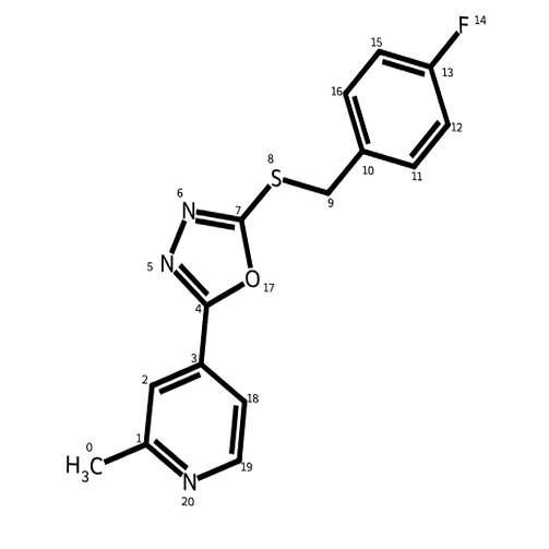 Cc1cc(-c2nnc(SCc3ccc(F)cc3)o2)ccn1